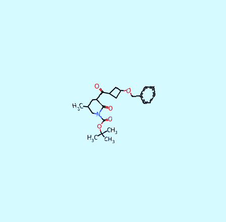 CC1CC(C(=O)C2CC(OCc3ccccc3)C2)C(=O)N(C(=O)OC(C)(C)C)C1